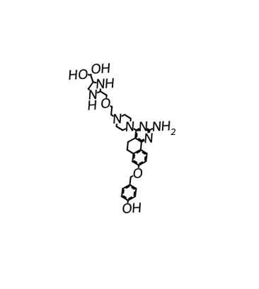 Nc1nc2c(c(N3CCN(CCOCC4NCC(C(O)O)N4)CC3)n1)CCc1cc(OCc3ccc(O)cc3)ccc1-2